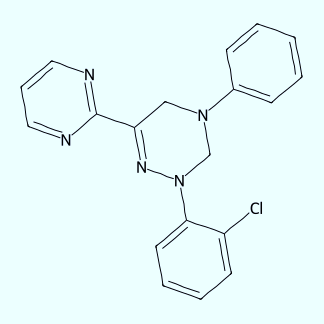 Clc1ccccc1N1CN(c2ccccc2)CC(c2ncccn2)=N1